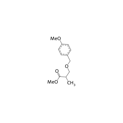 COC(=O)C(C)COCc1ccc(OC)cc1